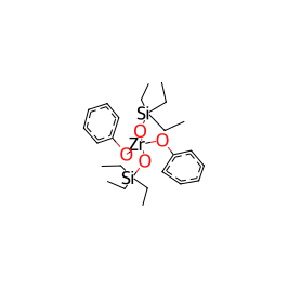 CC[Si](CC)(CC)[O][Zr]([O]c1ccccc1)([O]c1ccccc1)[O][Si](CC)(CC)CC